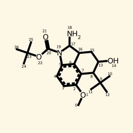 COc1ccc2c3c1C(C(C)(C)C)C(O)CC3C(N)N2C(=O)OC(C)(C)C